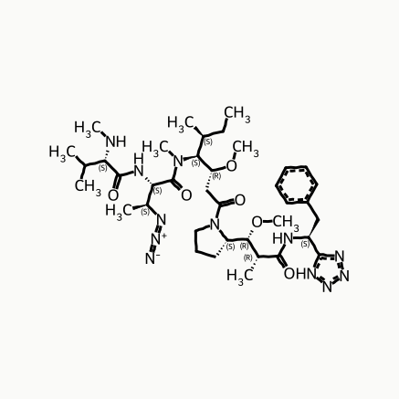 CC[C@H](C)[C@@H]([C@@H](CC(=O)N1CCC[C@H]1[C@H](OC)[C@@H](C)C(=O)N[C@@H](Cc1ccccc1)c1nnn[nH]1)OC)N(C)C(=O)[C@@H](NC(=O)[C@@H](NC)C(C)C)[C@H](C)N=[N+]=[N-]